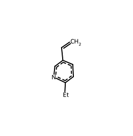 C=Cc1ccc(CC)nc1